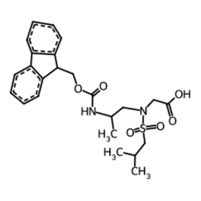 CC(C)CS(=O)(=O)N(CC(=O)O)CC(C)NC(=O)OCC1c2ccccc2-c2ccccc21